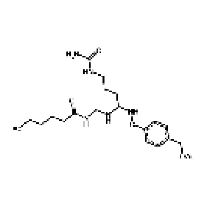 CC(=O)CCCCC(=O)NCNC(CCCNC(N)=O)NOc1ccc(COC(C)=O)cc1